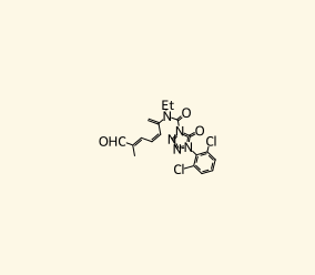 C=C(/C=C\C=C(/C)C=O)N(CC)C(=O)n1nnn(-c2c(Cl)cccc2Cl)c1=O